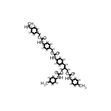 CNc1ccc(COC(=O)Nc2ccc(COC(=O)Nc3ccc(C=C(COC(=O)Nc4ccc(C)cc4)COC(=O)Nc4ccc(C)cc4)cc3)cc2)cc1